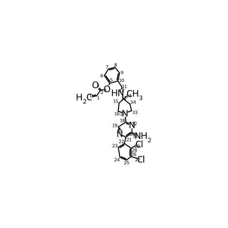 C=CC(=O)Oc1ccccc1CNC1(C)CCN(c2cnc(-c3cccc(Cl)c3Cl)c(N)n2)CC1